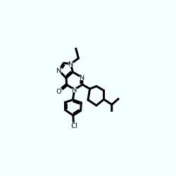 CCn1cnc2c(=O)n(-c3ccc(Cl)cc3)c(C3CCC(C(C)C)CC3)nc21